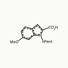 CCCCCn1c(C(=O)O)cc2ccc(OC)cc21